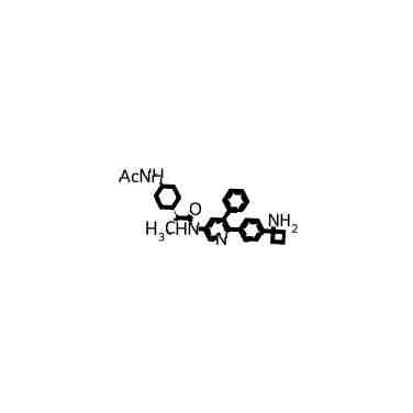 CC(=O)N[C@H]1CC[C@H](C(C)C(=O)Nc2cnc(-c3ccc(C4(N)CCC4)cc3)c(-c3ccccc3)c2)CC1